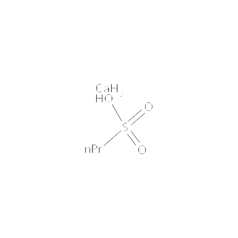 CCCS(=O)(=O)O.[CaH2]